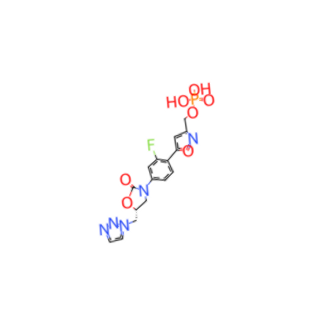 O=C1O[C@@H](Cn2ccnn2)CN1c1ccc(-c2cc(COP(=O)(O)O)no2)c(F)c1